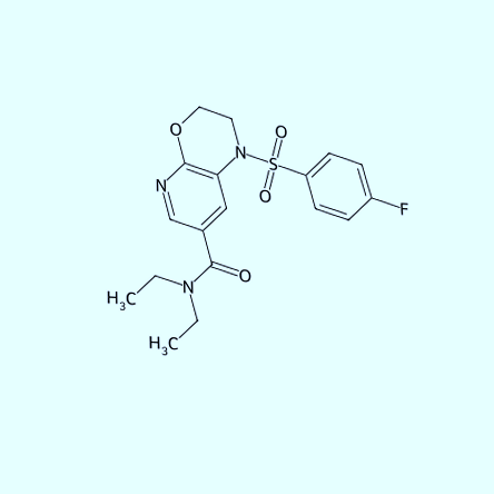 CCN(CC)C(=O)c1cnc2c(c1)N(S(=O)(=O)c1ccc(F)cc1)CCO2